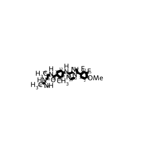 COc1ccc(-c2cnc3c(Nc4ccc(C(=O)N[C@@H](C)CNC(C)=N)c(C)c4)nccn23)c(F)c1F